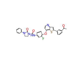 CC(=O)c1cccc(-c2cc3nccc(Oc4ccc(NC(=O)N5CCN(c6ccccc6)C5=O)cc4F)c3s2)c1